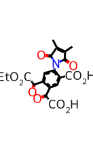 CCOC(=O)C(=O)c1cc(N2C(=O)C(C)=C(C)C2=O)c(C(=O)O)cc1C(=O)C(=O)O